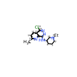 CCN1CCC[C@@H](Nc2nnc(Cl)c3ccc(C)nc23)C1